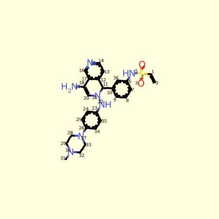 C=CS(=O)(=O)Nc1cccc(C2c3ccncc3C(N)=CN2Nc2ccc(N3CCN(C)CC3)cc2)c1